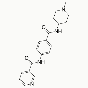 CN1CCC(NC(=O)c2ccc(NC(=O)c3cccnc3)cc2)CC1